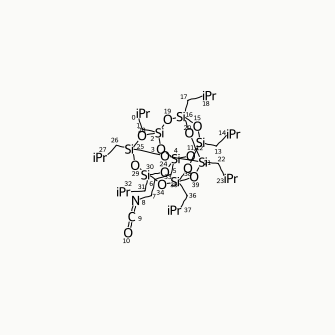 CC(C)C[Si]12O[Si]3(CCCN=C=O)O[Si]4(CC(C)C)O[Si](CC(C)C)(O1)O[Si]1(CC(C)C)O[Si](CC(C)C)(O2)O[Si](CC(C)C)(O3)O[Si](CC(C)C)(O4)O1